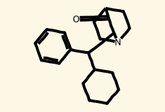 O=C1C2CCN(CC2)C1C(c1ccccc1)C1CCCCC1